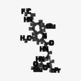 [CH2]CCSC[C@@H](CNC(=O)c1cc(C)c2cc(NCC(F)(F)F)cc(C(C)(C)C)c2n1)NC(=O)OC(C)(C)C